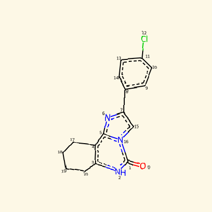 O=c1[nH]c2c(c3nc(-c4ccc(Cl)cc4)cn13)CCCC2